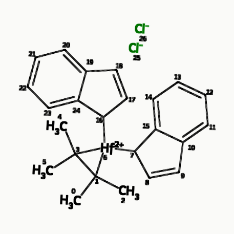 C[C]1(C)[C](C)(C)[Hf+2]1([CH]1C=Cc2ccccc21)[CH]1C=Cc2ccccc21.[Cl-].[Cl-]